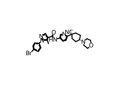 Cc1c(C(=O)Nc2ccc([C@]3(C#N)CC[C@@H](N4CCOCC4)CC3)nc2)cnn1-c1ccc(Br)cc1